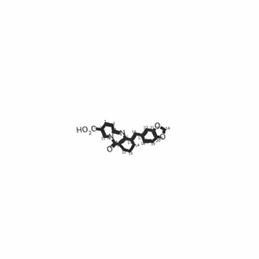 O=C(O)c1ccc2nc3c(c(=O)n2c1)CCC/C3=C\c1ccc2c(c1)OCO2